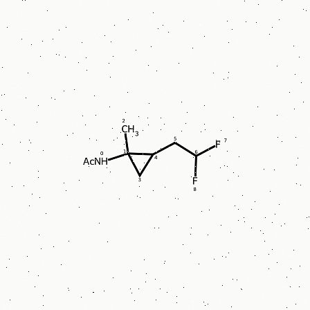 CC(=O)NC1(C)CC1CC(F)F